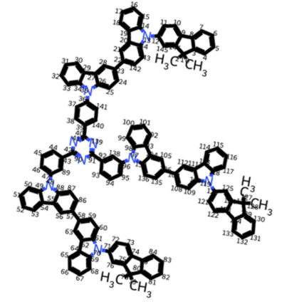 CC1(C)c2ccccc2-c2ccc(-n3c4ccccc4c4cc(-c5ccc6c(c5)c5ccccc5n6-c5ccc(-c6nc(-c7cccc(-n8c9ccccc9c9cc(-c%10ccc%11c(c%10)c%10ccccc%10n%11-c%10ccc%11c(c%10)C(C)(C)c%10ccccc%10-%11)ccc98)c7)nc(-c7cccc(-n8c9ccccc9c9cc(-c%10ccc%11c(c%10)c%10ccccc%10n%11-c%10ccc%11c(c%10)C(C)(C)c%10ccccc%10-%11)ccc98)c7)n6)cc5)ccc43)cc21